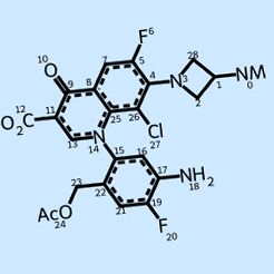 CNC1CN(c2c(F)cc3c(=O)c(C(=O)O)cn(-c4cc(N)c(F)cc4COC(C)=O)c3c2Cl)C1